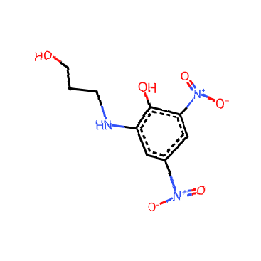 O=[N+]([O-])c1cc(NCCCO)c(O)c([N+](=O)[O-])c1